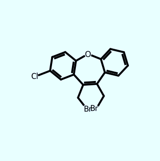 Clc1ccc2c(c1)C(CBr)=C(CBr)c1ccccc1O2